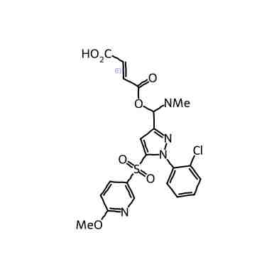 CNC(OC(=O)/C=C/C(=O)O)c1cc(S(=O)(=O)c2ccc(OC)nc2)n(-c2ccccc2Cl)n1